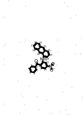 O=C(c1ccccc1)c1ccc([N+](=O)[O-])cc1Nc1cccc2cc3ccccc3cc12